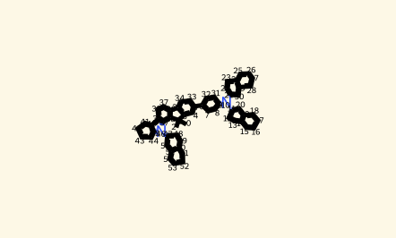 CC1(C)c2cc(-c3ccc(N(c4ccc5ccccc5c4)c4ccc5ccccc5c4)cc3)ccc2-c2ccc3c4ccccc4n(-c4ccc5ccccc5c4)c3c21